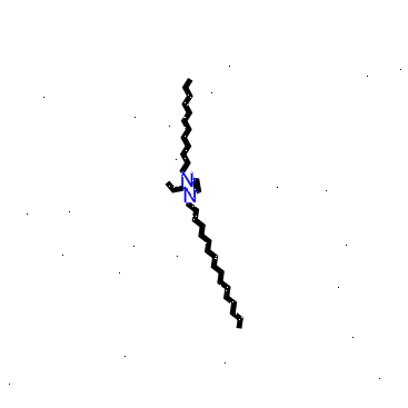 CCCCCCCCCCCCCCCCCN1C=CN(CCCCCCCCCCCC)C1CC